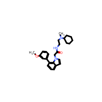 COc1cccc(-c2cccc3ccn(CC(=O)NCCN(C)C4CCCCC4)c23)c1